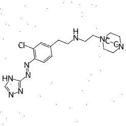 Clc1cc(CCNCC[N+]23CCN(CC2)CC3)ccc1N=Nc1nnc[nH]1